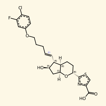 O=C(O)c1csc([C@H]2CC[C@@H]3[C@@H](/C=C/CCCOc4ccc(Cl)c(F)c4)[C@H](O)C[C@@H]3O2)n1